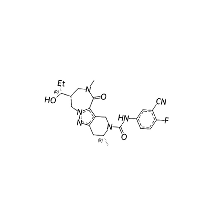 CC[C@@H](O)C1CN(C)C(=O)c2c3c(nn2C1)C[C@@H](C)N(C(=O)Nc1ccc(F)c(C#N)c1)C3